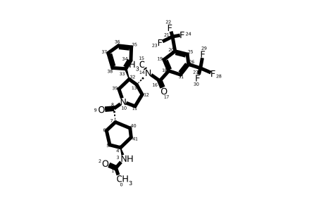 CC(=O)N[C@H]1CC[C@H](C(=O)N2CC[C@@H](N(C)C(=O)c3cc(C(F)(F)F)cc(C(F)(F)F)c3)[C@H](c3ccccc3)C2)CC1